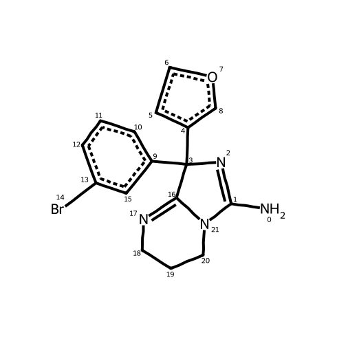 NC1=NC(c2ccoc2)(c2cccc(Br)c2)C2=NCCCN12